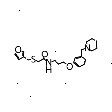 O=C(CSCc1ccoc1)NCCCOc1cccc(CN2CCCCC2)c1